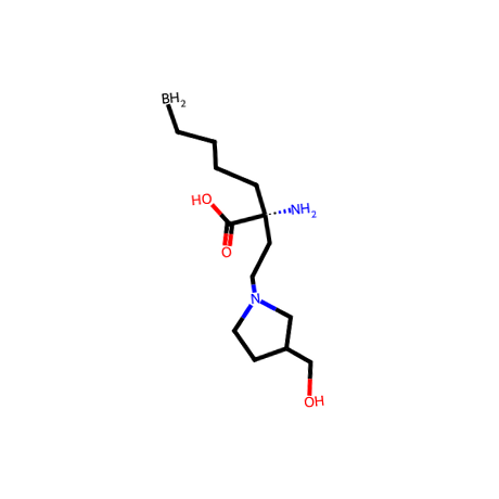 BCCCC[C@@](N)(CCN1CCC(CO)C1)C(=O)O